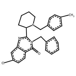 Cc1ccc(CN2CCCCC2c2nc3cc(Cl)ccc3c(=O)n2Cc2ccccc2)cc1